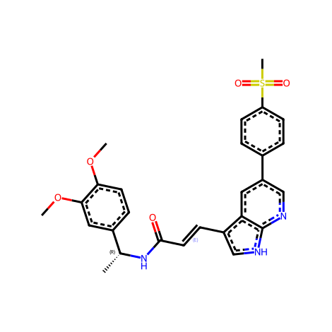 COc1ccc([C@@H](C)NC(=O)/C=C/c2c[nH]c3ncc(-c4ccc(S(C)(=O)=O)cc4)cc23)cc1OC